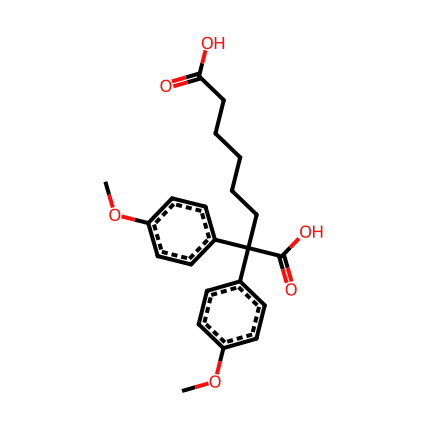 COc1ccc(C(CCCCCC(=O)O)(C(=O)O)c2ccc(OC)cc2)cc1